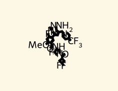 COc1cc(F)c(-c2cc(CN3CCC(C(F)(F)F)CC3)c3c(N)ncnn23)cc1C(=O)N[C@@H]1CN(C(=O)C2CC(F)(F)C2)C[C@@H]1F